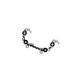 CN1CCN(CCOc2ccc(C(=O)NCCCCCCCNC(=O)c3ccc(OCCN4CCN(C)CC4)cc3)cc2)CC1